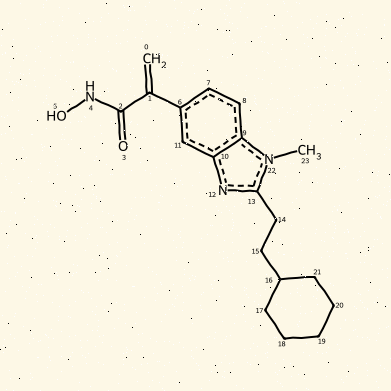 C=C(C(=O)NO)c1ccc2c(c1)nc(CCC1CCCCC1)n2C